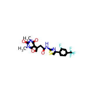 Cn1c(=O)c2c(CC(=O)Nc3nc(-c4ccc(C(F)(F)F)cc4F)cs3)coc2n(C)c1=O